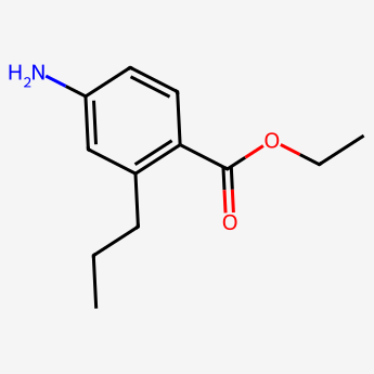 CCCc1cc(N)ccc1C(=O)OCC